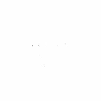 CC(C)(C(=O)Nc1nncs1)[C@H](c1cccc(F)c1)c1ccc(-c2ccc(C(=O)N3CCOCC3)c(Cl)c2)s1